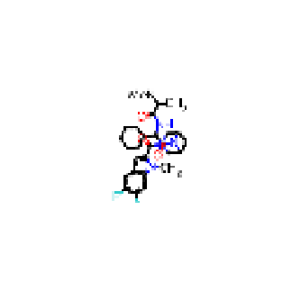 CNC(C)C(=O)NC(C(=O)N1C2CC1CN(C(=O)c1cc3cc(F)c(F)cc3n1C)C2)C1CCCCC1